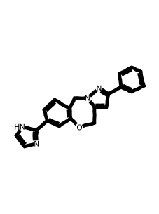 c1ccc(-c2cc3n(n2)Cc2ccc(-c4ncc[nH]4)cc2OC3)cc1